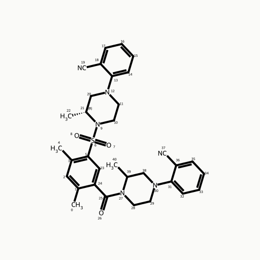 Cc1cc(C)c(S(=O)(=O)N2CCN(c3ccccc3C#N)C[C@H]2C)cc1C(=O)N1CCN(c2ccccc2C#N)CC1C